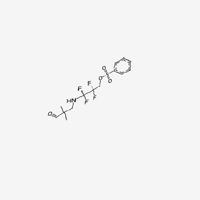 CC(C)(C=O)CNC(F)(F)C(F)(F)COS(=O)(=O)c1ccccc1